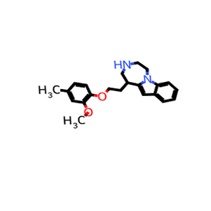 COc1cc(C)ccc1OCCC1CNCCn2c1cc1ccccc12